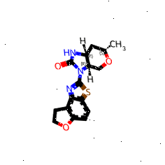 C[C@H]1C[C@H]2NC(=O)N(c3nc4c5c(ccc4s3)OCC5)[C@H]2CO1